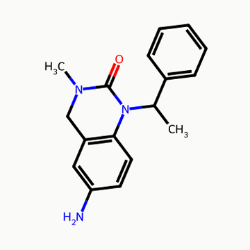 CC(c1ccccc1)N1C(=O)N(C)Cc2cc(N)ccc21